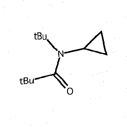 CC(C)(C)C(=O)N(C1CC1)C(C)(C)C